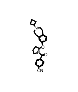 N#Cc1ccc(C(=O)N2CCCC2Oc2ccc3c(c2)CCN(C2CCC2)CC3)cc1